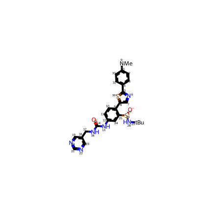 CNc1ccc(-c2ncc(-c3ccc(NC(=O)NCc4cncnc4)cc3[S+]([O-])NC(C)(C)C)s2)cc1